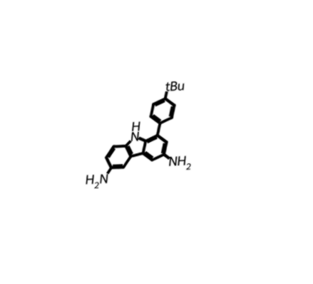 CC(C)(C)c1ccc(-c2cc(N)cc3c2[nH]c2ccc(N)cc23)cc1